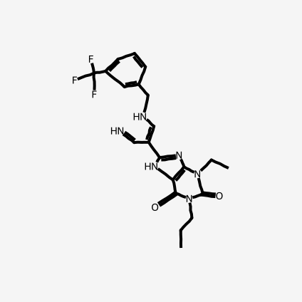 CCCn1c(=O)c2[nH]c(/C(C=N)=C/NCc3cccc(C(F)(F)F)c3)nc2n(CC)c1=O